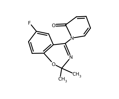 CC1(C)N=C(n2ccccc2=O)c2cc(F)ccc2O1